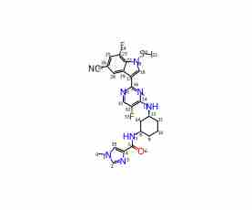 Cn1cnc(C(=O)N[C@@H]2CCC[C@H](Nc3nc(-c4cn(SI)c5c(F)cc(C#N)cc45)ncc3F)C2)c1